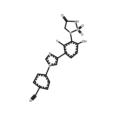 N#Cc1ccc(-n2cnc(-c3ccc(O)c(N4CC(=O)NS4(=O)=O)c3F)c2)cc1